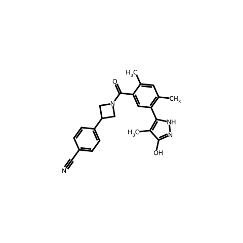 Cc1cc(C)c(-c2[nH]nc(O)c2C)cc1C(=O)N1CC(c2ccc(C#N)cc2)C1